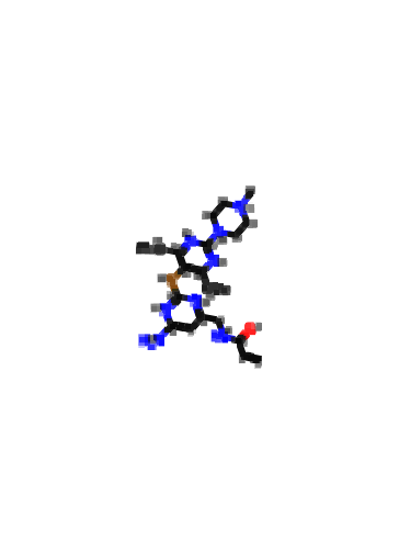 C=CC(=O)NCc1cc(N)nc(Sc2c(OC)nc(N3CCN(C)CC3)nc2OC)n1